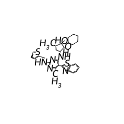 Cc1nc(NCc2cccs2)nc(N[C@@H]2C[C@H](C)[C@H]3OC4(CCCCC4)O[C@H]32)c1-c1nc2ccccc2s1